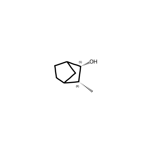 C[C@@H]1C2CCC(C2)[C@@H]1O